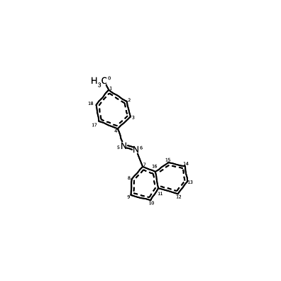 Cc1ccc(N=Nc2cccc3ccccc23)cc1